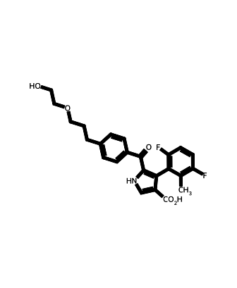 Cc1c(F)ccc(F)c1-c1c(C(=O)O)c[nH]c1C(=O)c1ccc(CCCOCCO)cc1